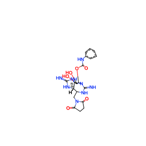 N=C1N[C@H]2C(CN3C(=O)CCC3=O)NC(=N)N3CC(OC(=O)Nc4ccccc4)C(O)(O)[C@]23N1